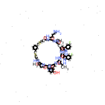 CCCC[C@@H]1NC(=O)[C@H](Cc2c[nH]c3ccc(F)cc23)NC(=O)[C@H](Cc2c[nH]c3ccc(F)cc23)CC(=O)[C@@H](C)NC(=O)[C@H](CCCCN)NC(=O)CCSCc2cccc(c2)CSCCNC(=O)[C@]2(C)CCCN2C(=O)[C@H](Cc2ccc(O)cc2)NC(=O)C(CC)NC1=O